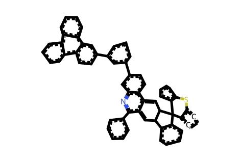 C1=c2c(-c3ccccc3)nc3cc(-c4cccc(-c5ccc6c7ccccc7c7ccccc7c6c5)c4)ccc3c2=CC2C1c1ccccc1C21c2ccccc2Sc2ccccc21